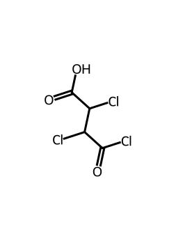 O=C(O)C(Cl)C(Cl)C(=O)Cl